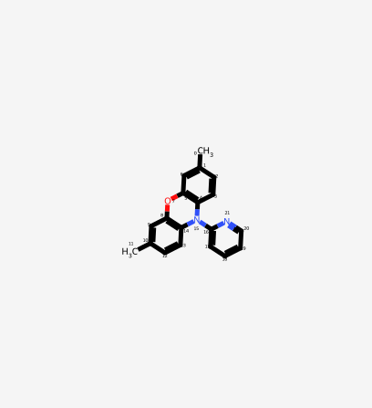 Cc1ccc2c(c1)Oc1cc(C)ccc1N2c1ccccn1